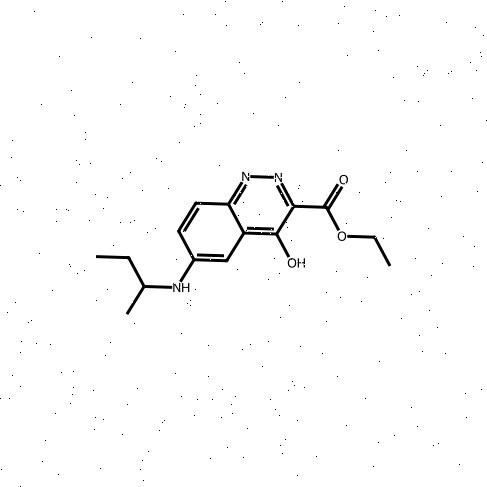 CCOC(=O)c1nnc2ccc(NC(C)CC)cc2c1O